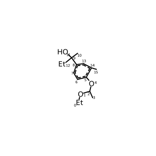 CCOC(C)Oc1ccc(C(C)(O)CC)cc1C